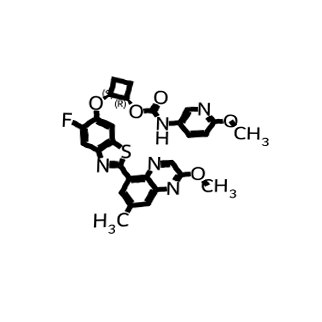 COc1ccc(NC(=O)O[C@@H]2CC[C@@H]2Oc2cc3sc(-c4cc(C)cc5nc(OC)cnc45)nc3cc2F)cn1